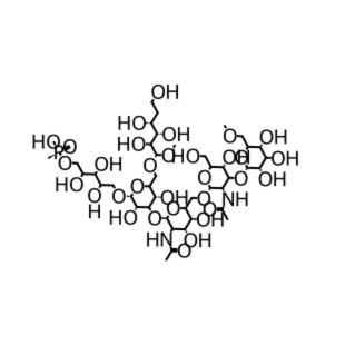 COCC1O[C@@H](OC2[C@@H](O)C(CO)O[C@@H](OCC3O[C@H](OC4[C@@H](O)C(CO[C@@H](OC)C(O)[C@@H](O)[C@H](O)CCO)O[C@@H](OCC(O)C(O)C(O)CO[P@@](C)(=O)O)[C@H]4O)C(NC(C)=O)[C@@H](O)[C@@H]3O)[C@H]2NC(C)=O)[C@@H](O)C(O)[C@H]1O